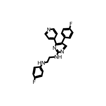 Fc1ccc(NCCNc2ncc(-c3ccc(F)cc3)c(-c3ccncc3)n2)cc1